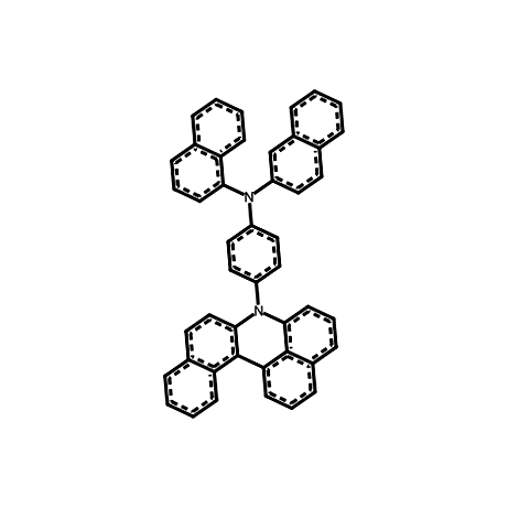 c1ccc2cc(N(c3ccc(N4c5ccc6ccccc6c5-c5cccc6cccc4c56)cc3)c3cccc4ccccc34)ccc2c1